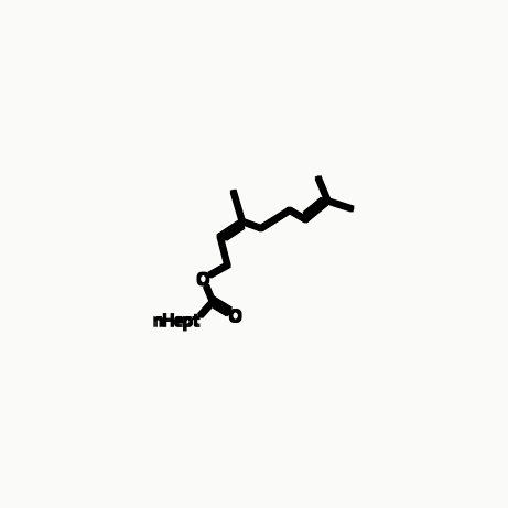 CCCCCCCC(=O)OC/C=C(/C)CCC=C(C)C